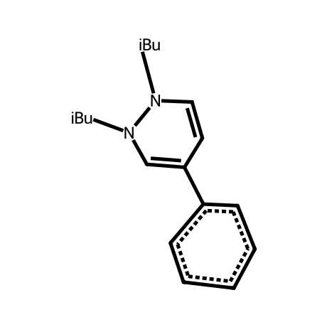 CCC(C)N1C=CC(c2ccccc2)=CN1C(C)CC